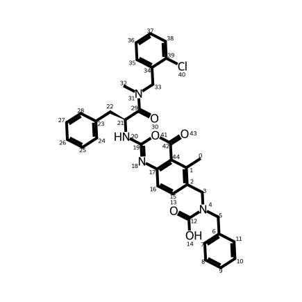 Cc1c(CN(Cc2ccccc2)C(=O)O)ccc2nc(N[C@@H](Cc3ccccc3)C(=O)N(C)Cc3ccccc3Cl)oc(=O)c12